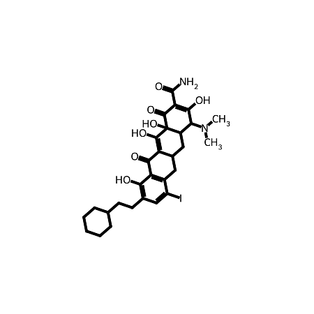 CN(C)C1C(O)=C(C(N)=O)C(=O)C2(O)C(O)=C3C(=O)c4c(O)c(CCC5CCCCC5)cc(I)c4CC3CC12